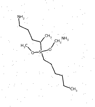 CCCCCC[Si](OC)(OC)C(C)CCCN.N